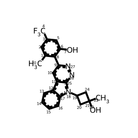 Cc1cc(C(F)(F)F)cc(O)c1-c1cc2c3ccccc3n(C3CC(C)(O)C3)c2nn1